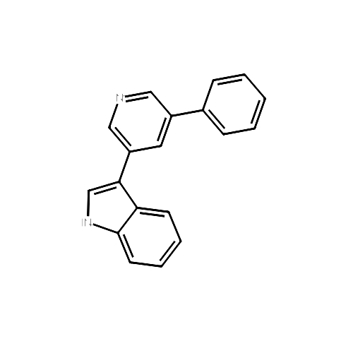 c1ccc(-c2cncc(-c3c[nH]c4ccccc34)c2)cc1